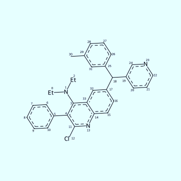 CCN(CC)c1c(-c2ccccc2)c(Cl)nc2ccc(C(c3cccnc3)c3cccc(C)c3)cc12